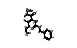 CON(C)C(=O)C(NC(=O)OCc1ccccc1)C(C)COC(C)(C)C